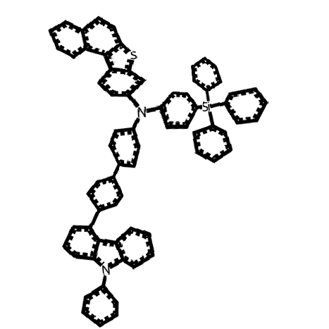 c1ccc(-n2c3ccccc3c3c(-c4ccc(-c5ccc(N(c6ccc([Si](c7ccccc7)(c7ccccc7)c7ccccc7)cc6)c6ccc7c(c6)sc6ccc8ccccc8c67)cc5)cc4)cccc32)cc1